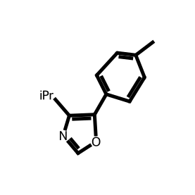 Cc1ccc(-c2ocnc2C(C)C)cc1